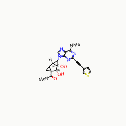 CNC(=O)C12CC1[C@H]1C(n3cnc4c(NC)nc(C#Cc5ccsc5)nc43)[C@@]1(O)[C@@H]2O